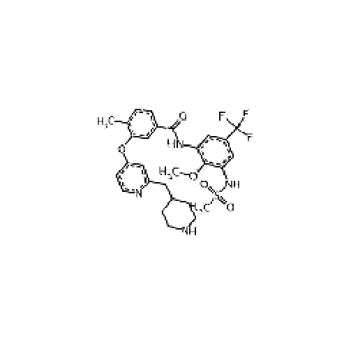 COc1c(NC(=O)c2ccc(C)c(Oc3ccnc(CC4CCNCC4)c3)c2)cc(C(F)(F)F)cc1NS(C)(=O)=O